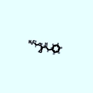 CCOC(=O)NCc1cc[c]cc1